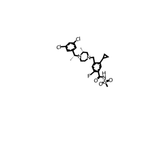 C[C@@H]1CN(Cc2cc(F)c(C(=O)NS(C)(=O)=O)cc2C2CC2)CCN1[C@H](C)c1cc(Cl)cc(Cl)c1